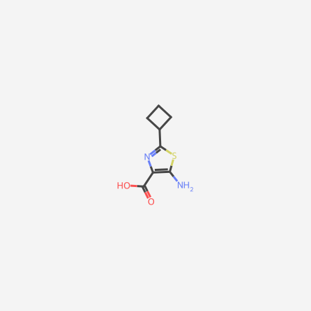 Nc1sc(C2CCC2)nc1C(=O)O